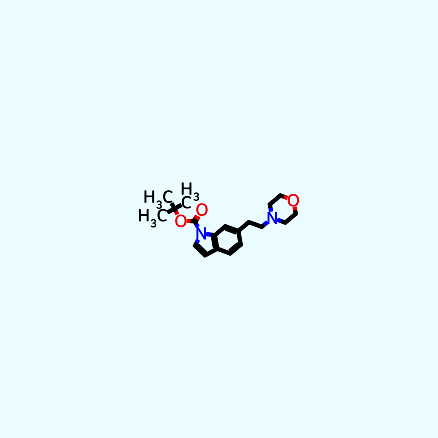 CC(C)(C)OC(=O)n1ccc2ccc(CCN3CCOCC3)cc21